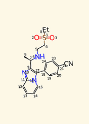 CCS(=O)(=O)CCN[C@H](C)c1nc2ccccn2c1-c1ccc(C#N)cc1